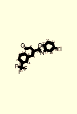 O=CCC(=Cc1cccc(C(F)(F)F)c1)c1nc2cc(Cl)ccc2o1